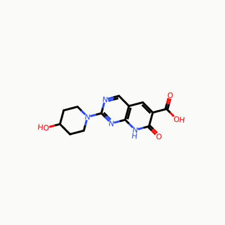 O=C(O)c1cc2cnc(N3CCC(O)CC3)nc2[nH]c1=O